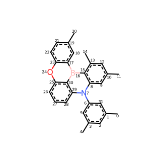 Cc1cc(C)cc(N2c3cc(C)cc(C)c3B3c4cc(C)ccc4Oc4cccc2c43)c1